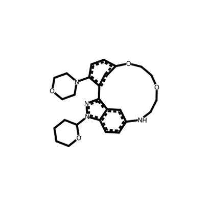 c1cc2c3cc1NCCOCCOc1ccc(N4CCOCC4)c(c1)-c3nn2C1CCCCO1